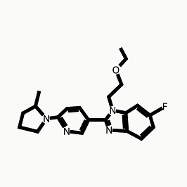 CCOCCn1c(-c2ccc(N3CCCC3C)nc2)nc2ccc(F)cc21